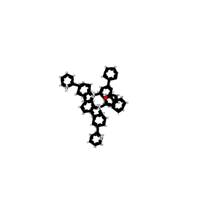 c1ccc(-c2cc(-c3ccccc3)cc(-n3c4ccc(-c5ccccn5)cc4c4ccc5c6cc(-c7ccccn7)ccc6n(-c6ccccc6)c5c43)c2)cc1